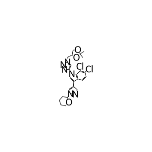 CC1(C)OCC(Cn2cc(-n3cc(-c4cnn(C5CCCCO5)c4)c4ccc(Cl)c(Cl)c43)nn2)O1